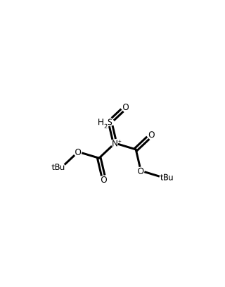 CC(C)(C)OC(=O)[N+](=[SH2]=O)C(=O)OC(C)(C)C